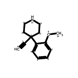 C#CC1(c2ccccc2OC)CCNCC1